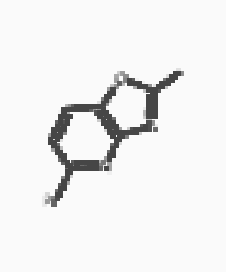 CC(C)c1ccc2oc(I)nc2n1